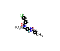 Cc1ccc(-c2nc(-c3ccc(C[C@@H](NC(=O)c4cccc(-c5ccc(Cl)cc5)c4)C(=O)O)cc3F)no2)cc1